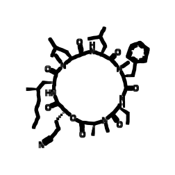 CCCC[C@@H](C)C[C@@H]1NC(=O)[C@@H](CCC#N)OC(=O)[C@H](C)N(C)C(=O)[C@H](CC)NC(=O)[C@H](Cc2ccccc2)N(C)C(=O)[C@H](CC(C)C)NC(=O)[C@H](CC(C)C)N(C)C1=O